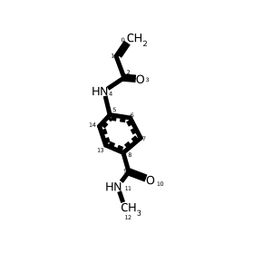 C=CC(=O)Nc1ccc(C(=O)NC)cc1